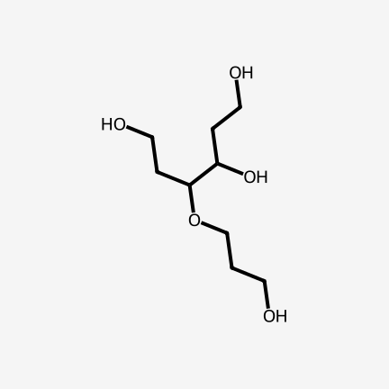 OCCCOC(CCO)C(O)CCO